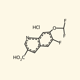 Cl.O=C(O)c1cnc2cc(OC(F)F)c(F)cc2c1